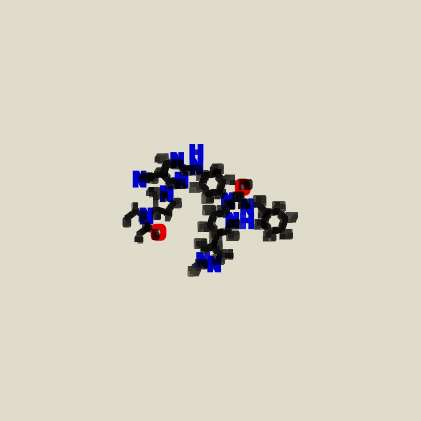 CCN(C(C)=O)C1CCN(c2nc(Nc3ccc(N(C(=O)NCc4ccccc4)c4ccc(-c5cnn(C)c5)cn4)cc3)ncc2C#N)C1